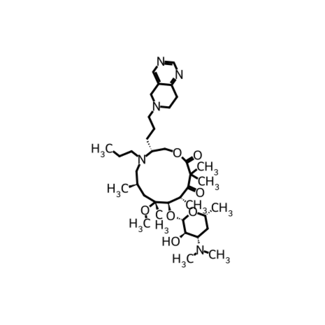 CCCN1C[C@H](C)C[C@@](C)(OC)[C@H](O[C@@H]2O[C@H](C)C[C@H](N(C)C)[C@H]2O)[C@@H](C)C(=O)C(C)(C)C(=O)OC[C@H]1CCCN1CCc2ncncc2C1